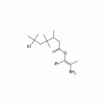 B/C(C)=C(/OC(=C)CC(C)C(C)(C)CC(C)(C)CC)C(C)C